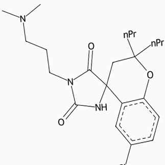 CCCC1(CCC)CC2(NC(=O)N(CCCN(C)C)C2=O)c2cc(Cl)ccc2O1